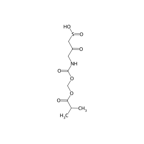 CC(C)C(=O)OCOC(=O)NCC(=O)CS(=O)O